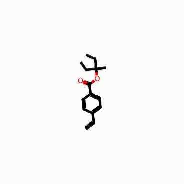 C=Cc1ccc(C(=O)OC(C)(CC)CC)cc1